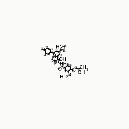 COc1cc(C(=O)NCC(O)(c2cc(C3CCN3)cc(-c3ccc(F)cc3)n2)C(F)(F)F)ccc1OC[C@@H](C)O